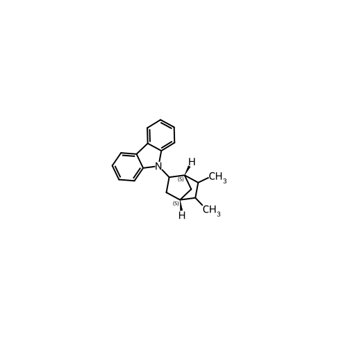 CC1C(C)[C@@H]2C[C@H]1CC2n1c2ccccc2c2ccccc21